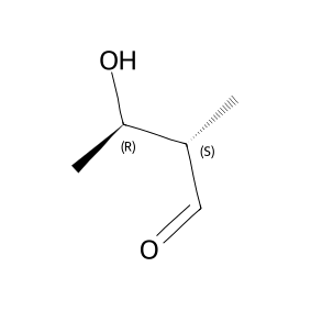 C[C@H](C=O)[C@@H](C)O